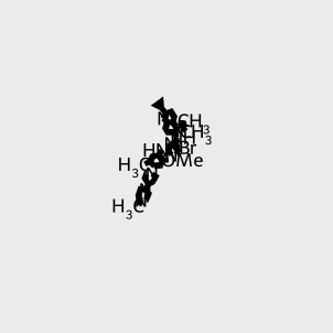 COc1cc(N2CCC(N3CCN(C)CC3)CC2)c(C)cc1Nc1ncc(Br)c(Nc2ccc3nc(C4CC4)ccc3c2P(C)C)n1